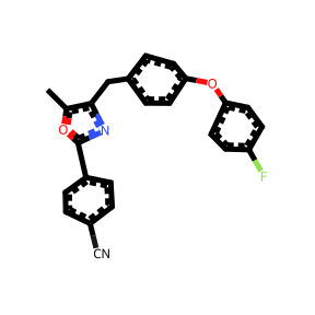 Cc1oc(-c2ccc(C#N)cc2)nc1Cc1ccc(Oc2ccc(F)cc2)cc1